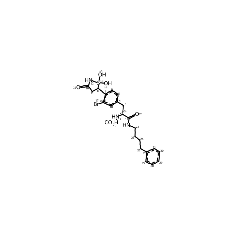 O=C(O)N[C@@H](Cc1ccc(C2CC(=O)NS2(O)O)c(Br)c1)C(=O)NCCCCc1ccccc1